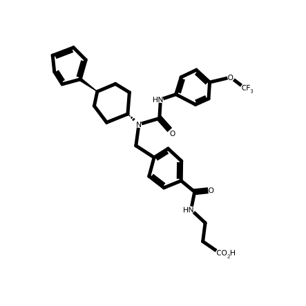 O=C(O)CCNC(=O)c1ccc(CN(C(=O)Nc2ccc(OC(F)(F)F)cc2)[C@H]2CC[C@H](c3ccccc3)CC2)cc1